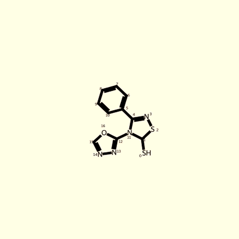 SC1SN=C(c2ccccc2)N1c1nnco1